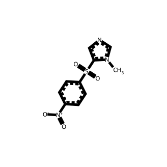 Cn1cncc1S(=O)(=O)c1ccc([N+](=O)[O-])cc1